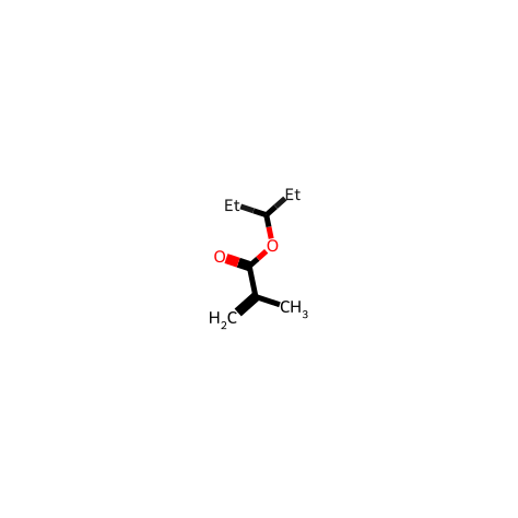 C=C(C)C(=O)OC(CC)CC